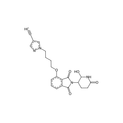 C#Cc1cnn(CCCCOc2cccc3c2C(=O)N(C2CCC(=O)NC2O)C3=O)c1